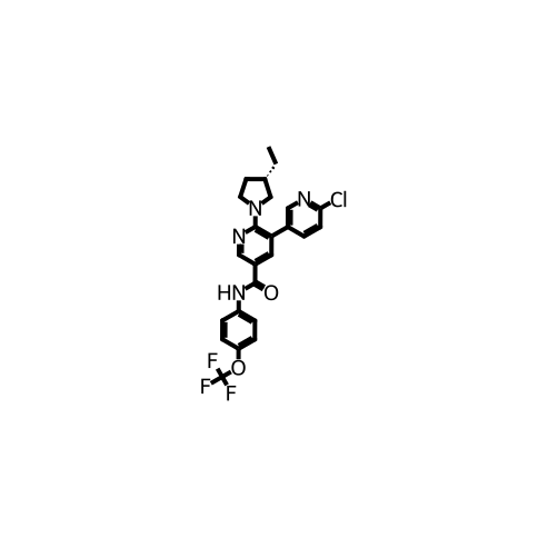 CC[C@H]1CCN(c2ncc(C(=O)Nc3ccc(OC(F)(F)F)cc3)cc2-c2ccc(Cl)nc2)C1